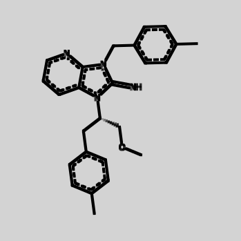 COC[C@H](Cc1ccc(C)cc1)n1c(=N)n(Cc2ccc(C)cc2)c2ncccc21